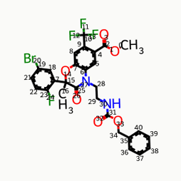 COC(=O)c1cc2c(cc1C(F)(F)F)OC(C)(c1cc(Br)ccc1F)C(=O)N2CCNC(=O)OCc1ccccc1